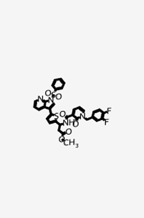 COC(=O)CC(NC(=O)c1cccn(Cc2ccc(F)c(F)c2)c1=O)c1ccc(-c2cn(S(=O)(=O)c3ccccc3)c3ncccc23)s1